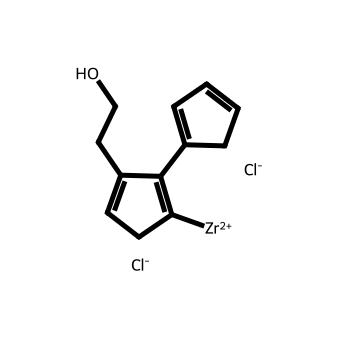 OCCC1=CC[C]([Zr+2])=C1C1=CC=CC1.[Cl-].[Cl-]